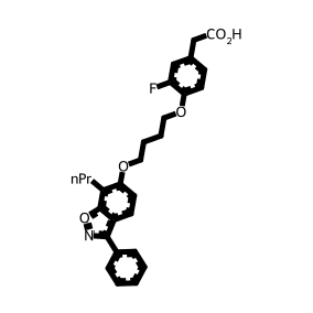 CCCc1c(OCCCCOc2ccc(CC(=O)O)cc2F)ccc2c(-c3ccccc3)noc12